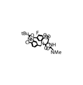 CNCC(=O)N[C@H]1CS(=O)(=O)c2cc(F)c(-c3nnc(C(C)(C)C)o3)cc2N(Cc2ccc(Cl)cc2)C1=O